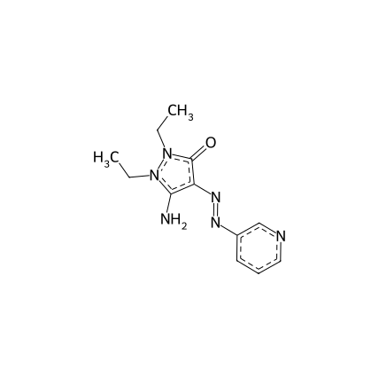 CCn1c(N)c(N=Nc2cccnc2)c(=O)n1CC